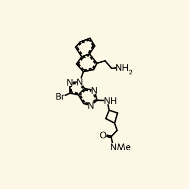 CNC(=O)CC1CC(Nc2ncc3c(Br)nn(-c4cc(CCN)c5ccccc5c4)c3n2)C1